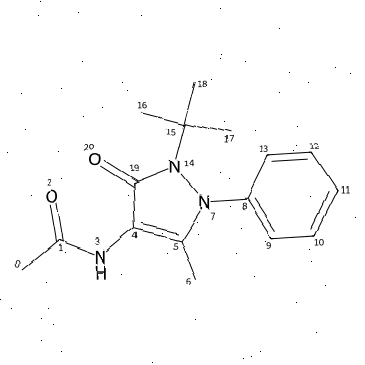 CC(=O)Nc1c(C)n(-c2ccccc2)n(C(C)(C)C)c1=O